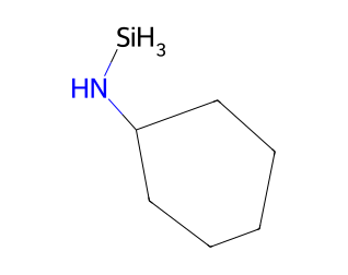 [SiH3]NC1CCCCC1